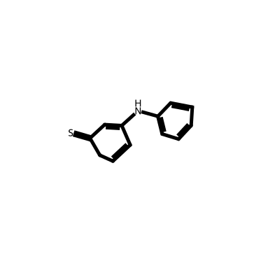 S=C1C=C(Nc2ccccc2)C=CC1